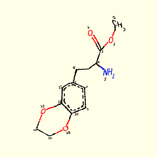 COC(=O)C(N)Cc1ccc2c(c1)OCCO2